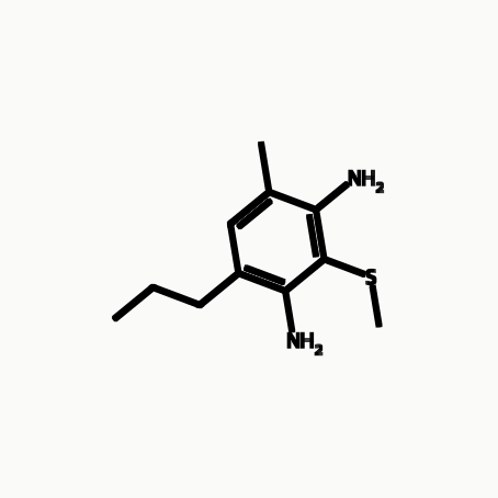 CCCc1cc(C)c(N)c(SC)c1N